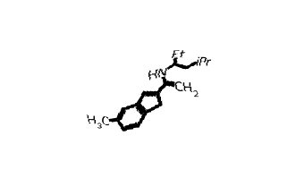 C=C(NC(CC)CC(C)C)C1=Cc2cc(C)ccc2C1